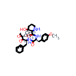 COc1ccc(C[C@H](NC(=O)[C@@H]2NCCC[C@]2(C)O)C(=O)N[C@@H](Cc2ccccc2)C(=O)[C@@]2(C)CO2)cc1